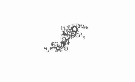 COc1cc(C)c(S(=O)(=O)N(Cc2nc(C(=O)N3CCC(N(C)C(=O)O)C3)co2)C2CC2)c(C)c1